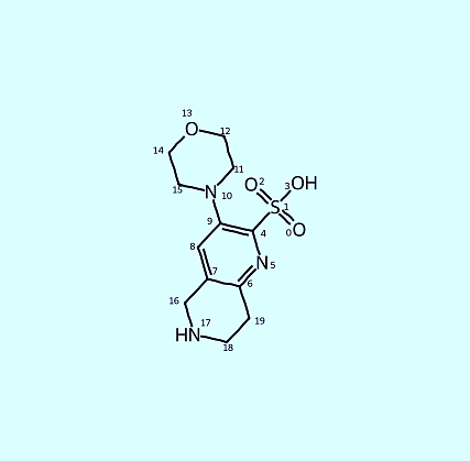 O=S(=O)(O)c1nc2c(cc1N1CCOCC1)CNCC2